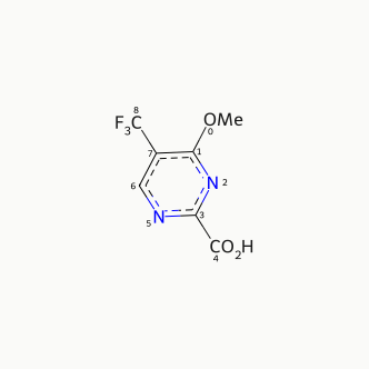 COc1nc(C(=O)O)ncc1C(F)(F)F